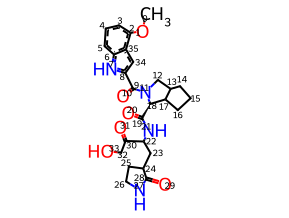 COc1cccc2[nH]c(C(=O)N3CC4CCCC4[C@H]3C(=O)NC(CC3CCNC3=O)C(=O)CO)cc12